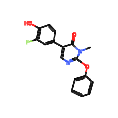 Cn1c(Oc2ccccc2)ncc(-c2ccc(O)c(F)c2)c1=O